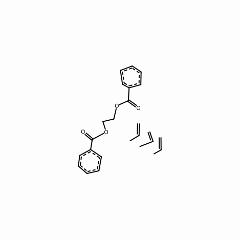 C=CC.C=CC.C=CC.O=C(OCCOC(=O)c1ccccc1)c1ccccc1